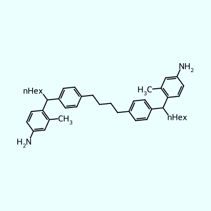 CCCCCCC(c1ccc(CCCCc2ccc(C(CCCCCC)c3ccc(N)cc3C)cc2)cc1)c1ccc(N)cc1C